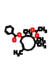 CC(=O)O[C@H]1/C=C(/C)[C@H](OC(=O)c2ccccc2)C/C=C(\C)CCCC1(C)C